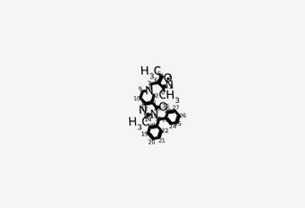 Cc1noc(C)c1CN1CCc2nc(C)n(C(c3ccccc3)c3ccccc3)c(=O)c2C1